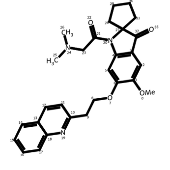 COc1cc2c(cc1OCCc1ccc3ccccc3n1)N(C(=O)CN(C)C)C1(CCCC1)C2=O